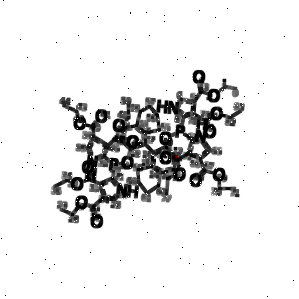 CCOC(=O)c1c[nH]c(P(Oc2ccc3c(c2-c2c(OP(c4[nH]cc(C(=O)OCC)c4C(=O)OCC)c4[nH]cc(C(=O)OCC)c4C(=O)OCC)ccc4c2CCCC4)CCCC3)c2[nH]cc(C(=O)OCC)c2C(=O)OCC)c1C(=O)OCC